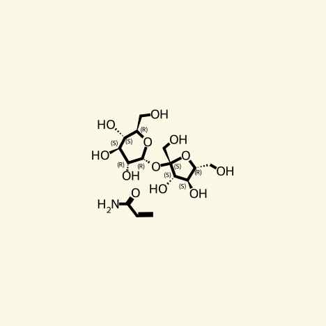 C=CC(N)=O.OC[C@H]1O[C@@](CO)(O[C@H]2O[C@H](CO)[C@@H](O)[C@H](O)[C@H]2O)[C@@H](O)[C@@H]1O